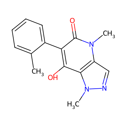 Cc1ccccc1-c1c(O)c2c(cnn2C)n(C)c1=O